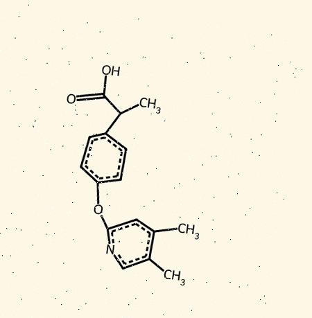 Cc1cnc(Oc2ccc(C(C)C(=O)O)cc2)cc1C